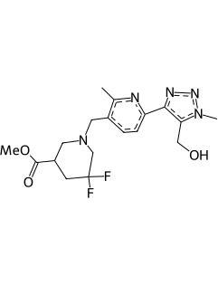 COC(=O)C1CN(Cc2ccc(-c3nnn(C)c3CO)nc2C)CC(F)(F)C1